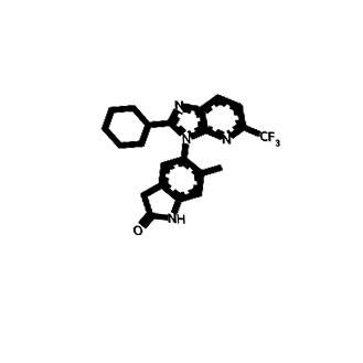 Cc1cc2c(cc1-n1c(C3CCCCC3)nc3ccc(C(F)(F)F)nc31)CC(=O)N2